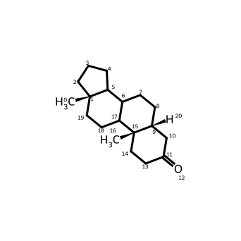 C[C@@]12CCCC1C1CC[C@@H]3CC(=O)CC[C@]3(C)C1CC2